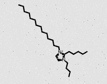 CCCCCCCCCCCCCC[n+]1ccn(CCCC)c1CCCCC